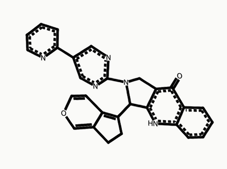 O=c1c2c([nH]c3ccccc13)C(C1=C3C=COC=C3CC1)N(c1ncc(-c3ccccn3)cn1)C2